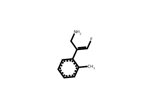 Cc1ccccc1C(=CF)CN